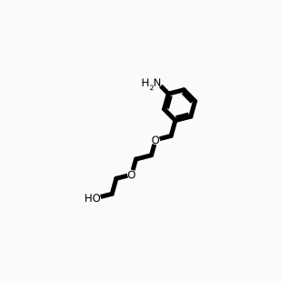 Nc1cccc(COCCOCCO)c1